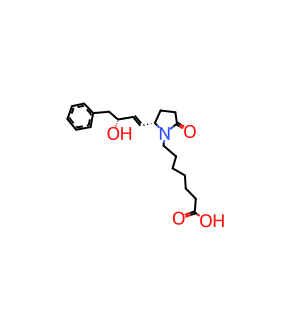 O=C(O)CCCCCCN1C(=O)CC[C@H]1C=C[C@H](O)Cc1ccccc1